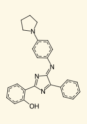 Oc1ccccc1C1=NC(=Nc2ccc(N3CCCC3)cc2)C(c2ccccc2)=N1